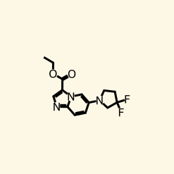 CCOC(=O)c1cnc2ccc(N3CCC(F)(F)C3)cn12